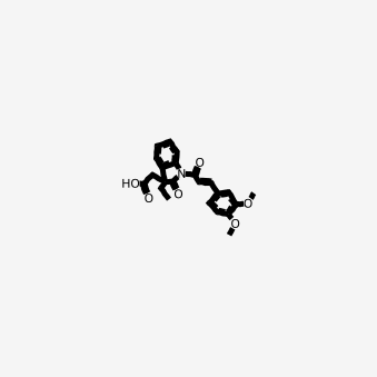 CCC1(CC(=O)O)C(=O)N(C(=O)C=Cc2ccc(OC)c(OC)c2)c2ccccc21